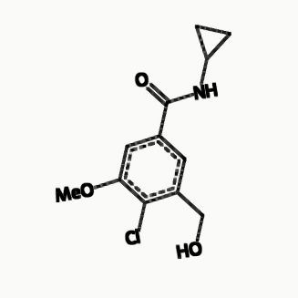 COc1cc(C(=O)NC2CC2)cc(CO)c1Cl